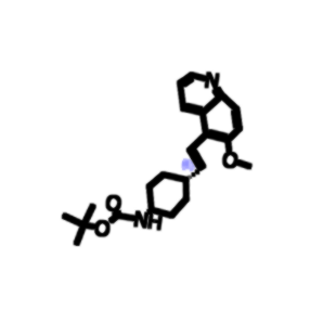 COc1ccc2ncccc2c1/C=C/[C@H]1CC[C@H](NC(=O)OC(C)(C)C)CC1